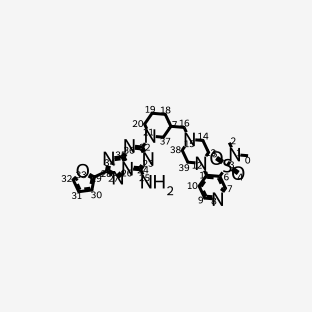 CN(C)S(=O)(=O)c1cnccc1N1CCN(CC2CCCN(c3nc(N)n4nc(-c5ccco5)nc4n3)C2)CC1